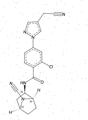 N#CCc1cnn(-c2ccc(C(=O)N[C@@H]3C[C@@H]4CC[C@H]3N4C#N)c(Cl)c2)c1